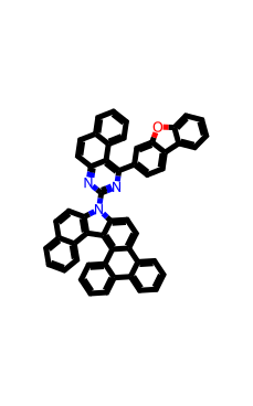 c1ccc2c(c1)ccc1nc(-n3c4ccc5ccccc5c4c4c5c6ccccc6c6ccccc6c5ccc43)nc(-c3ccc4c(c3)oc3ccccc34)c12